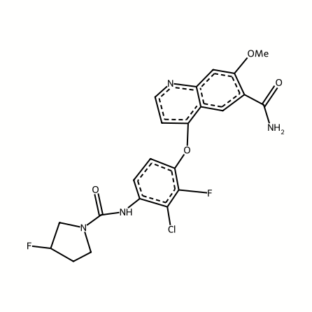 COc1cc2nccc(Oc3ccc(NC(=O)N4CCC(F)C4)c(Cl)c3F)c2cc1C(N)=O